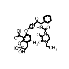 C=C1C(=O)N(C(=O)N[C@@H](C(=O)N2CC(Oc3ccc4c(c3C(=O)O)O[B-](O)(O)CC4)C2)c2ccccc2)CCN1CC